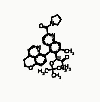 CC(=O)[C@@H](OC(C)(C)C)c1c(C)cc2nc(C(=O)N3CCCC3)ccc2c1-c1ccc2c3c(ccnc13)CCO2